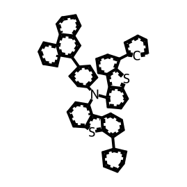 c1ccc(-c2cccc3c2sc2cccc(N(c4ccc(-c5cc6ccccc6c6ccccc56)cc4)c4cccc5sc6c(-c7ccccc7)cccc6c45)c23)cc1